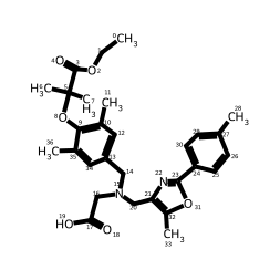 CCOC(=O)C(C)(C)Oc1c(C)cc(CN(CC(=O)O)Cc2nc(-c3ccc(C)cc3)oc2C)cc1C